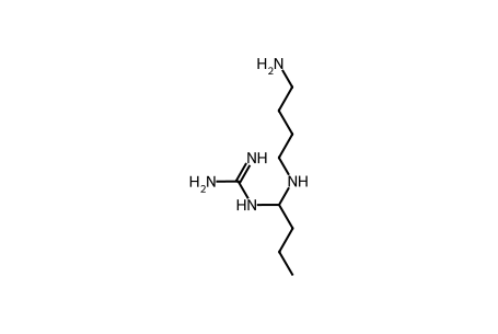 CCCC(NCCCCN)NC(=N)N